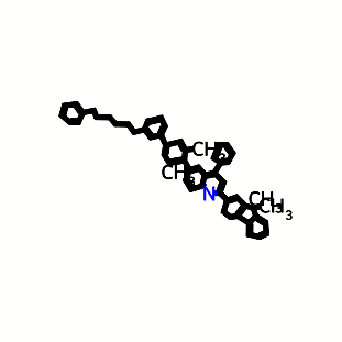 Cc1cc(-c2cccc(CCCCCCc3ccccc3)c2)cc(C)c1-c1ccc2nc(C3=CC4=C(CC3)c3ccccc3C4(C)C)cc(-c3ccccc3)c2c1